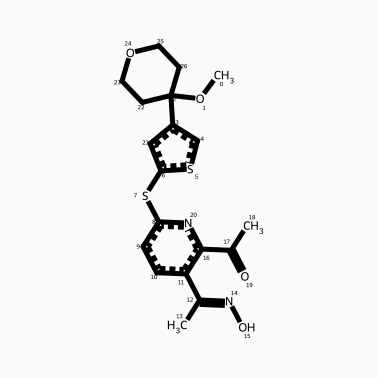 COC1(c2csc(Sc3ccc(C(C)=NO)c(C(C)=O)n3)c2)CCOCC1